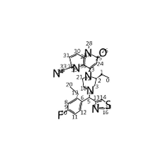 CC[C@H]1CN(C(c2ccc(F)cc2)c2cscn2)[C@H](CC)CN1c1cc(=O)n(C)c2ccc(C#N)nc12